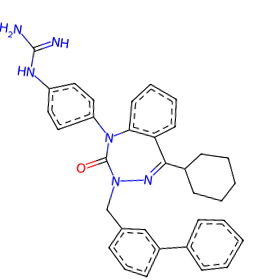 N=C(N)Nc1ccc(N2C(=O)N(Cc3cccc(-c4ccccc4)c3)N=C(C3CCCCC3)c3ccccc32)cc1